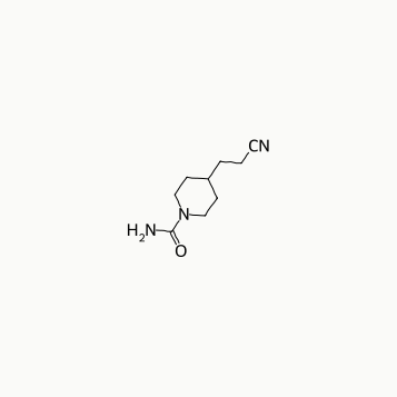 N#CCCC1CCN(C(N)=O)CC1